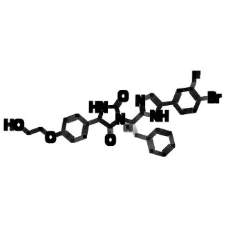 O=C1NC(c2ccc(OCCO)cc2)C(=O)N1[C@@H](Cc1ccccc1)c1ncc(-c2ccc(Br)c(F)c2)[nH]1